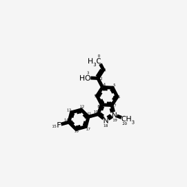 CC=C(O)c1ccc2c(c1)c(-c1ccc(F)cc1)nn2C